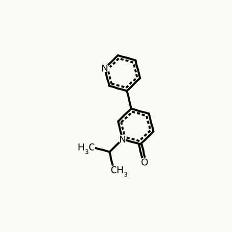 CC(C)n1cc(-c2cccnc2)ccc1=O